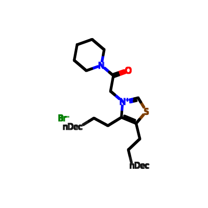 CCCCCCCCCCCCc1sc[n+](CC(=O)N2CCCCC2)c1CCCCCCCCCCCC.[Br-]